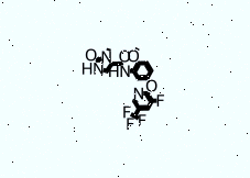 COc1ccc(Oc2ncc(C(F)(F)F)cc2F)cc1NC(=O)C1CNC(=O)N1C